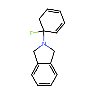 FC1(N2Cc3ccccc3C2)C=CC=CC1